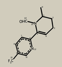 CC1CCC=C(c2ccc(C(F)(F)F)cn2)N1C=O